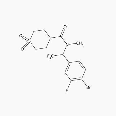 CN(C(=O)C1CCS(=O)(=O)CC1)C(c1ccc(Br)c(F)c1)C(F)(F)F